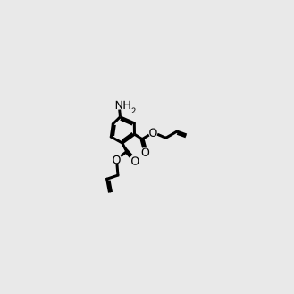 C=CCOC(=O)c1ccc(N)cc1C(=O)OCC=C